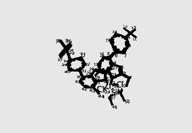 CCC1=Cc2c(-c3ccc(C(C)(C)C)cc3)ccc(C)c2[CH]1[Zr]([Cl])([Cl])([CH]1C(C)=Cc2c(-c3ccc(C(C)(C)C)cc3)ccc(C)c21)[SiH](CC)CC